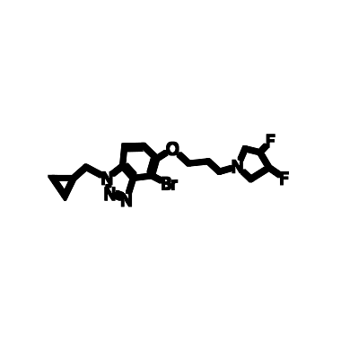 FC1CN(CCCOc2ccc3c(nnn3CC3CC3)c2Br)CC1F